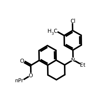 CCCOC(=O)c1cccc2c1CCCC2N(CC)c1ccc(Cl)c(C)c1